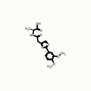 COc1ccc(-c2nc(CC(=O)N[C@@H](C)C(=O)O)cs2)cc1OC